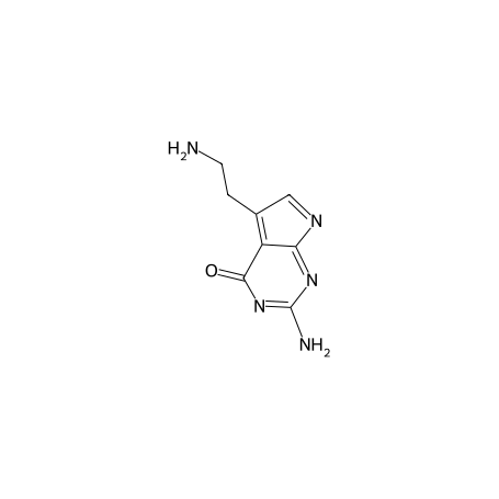 NCCC1=C2C(=O)N=C(N)N=C2N=C1